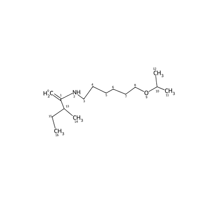 C=C(NCCCCCCOC(C)C)C(C)CC